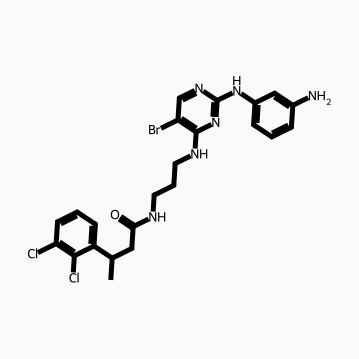 CC(CC(=O)NCCCNc1nc(Nc2cccc(N)c2)ncc1Br)c1cccc(Cl)c1Cl